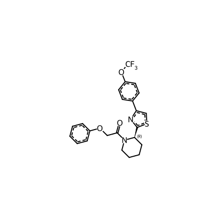 O=C(COc1ccccc1)N1CCCC[C@@H]1c1nc(-c2ccc(OC(F)(F)F)cc2)cs1